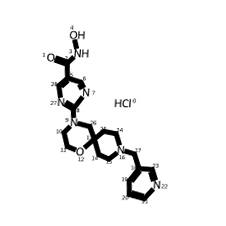 Cl.O=C(NO)c1cnc(N2CCOC3(CCN(Cc4cccnc4)CC3)C2)nc1